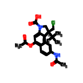 CC(=O)Nc1ccc2c(OC(C)=O)cc3c(c2c1)[C@@](CCl)(C(C)(C)C)CN3C(=O)O